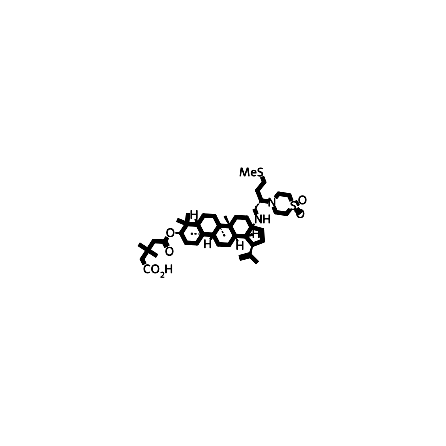 C=C(C)[C@@H]1CC[C@]2(NC[C@H](CCSC)N3CCS(=O)(=O)CC3)CC[C@]3(C)[C@H](CC[C@@H]4[C@@]5(C)CC[C@H](OC(=O)CC(C)(C)CC(=O)O)C(C)(C)[C@@H]5CC[C@]43C)[C@@H]12